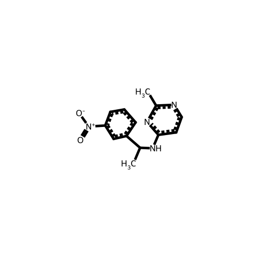 Cc1nccc(NC(C)c2cccc([N+](=O)[O-])c2)n1